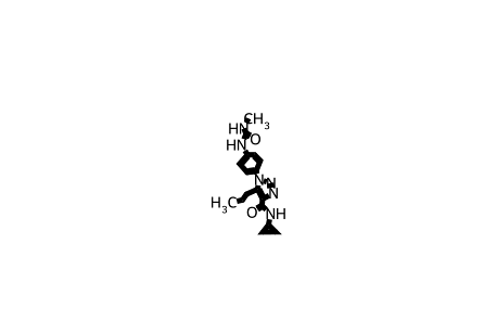 CCCc1c(C(=O)NC2CC2)nnn1-c1ccc(NC(=O)NC)cc1